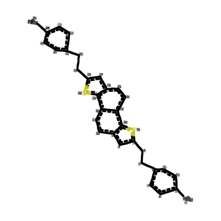 CCCCc1ccc(CCc2cc3ccc4c(ccc5cc(CCc6ccc(CCCC)cc6)sc54)c3s2)cc1